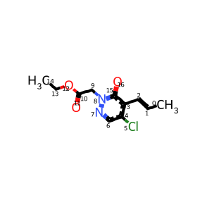 C/C=C/c1c(Cl)cnn(CC(=O)OCC)c1=O